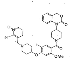 COc1cc(OC2CCN(Cc3ccc[n+]([O-])c3C(C)C)CC2)c(F)cc1C(=O)N1CCC(N2C(=O)OCc3ccccc32)CC1